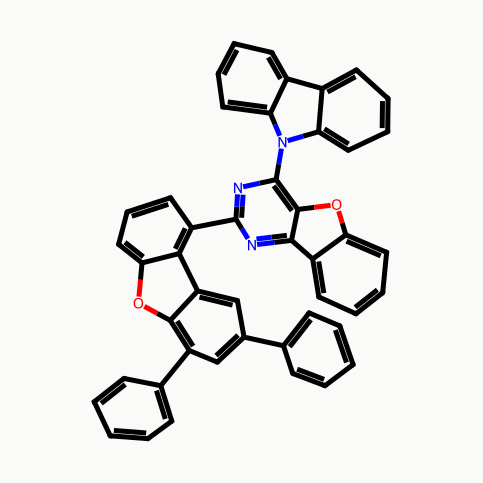 c1ccc(-c2cc(-c3ccccc3)c3oc4cccc(-c5nc(-n6c7ccccc7c7ccccc76)c6oc7ccccc7c6n5)c4c3c2)cc1